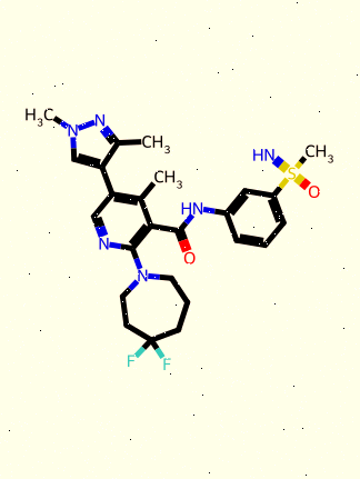 Cc1nn(C)cc1-c1cnc(N2CCCC(F)(F)CC2)c(C(=O)Nc2cccc(S(C)(=N)=O)c2)c1C